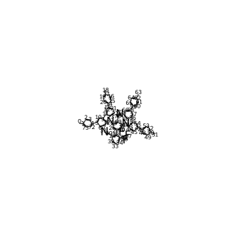 Cc1ccc(-c2ccc3c(c2)c2cc(-c4ccc(C)cc4)ccc2n3-c2cc(-c3c(C#N)cccc3C(F)(F)F)cc(-n3c4ccc(-c5ccc(C)cc5)cc4c4cc(-c5ccc(C)cc5)ccc43)c2C#N)cc1